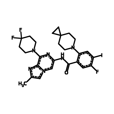 Cc1cn2cc(NC(=O)c3cc(F)c(I)cc3N3CCC4(CC3)CC4)nc(N3CCC(F)(F)CC3)c2n1